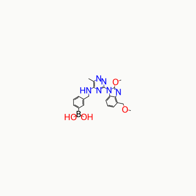 COCc1cccc2c1nc(OC)n2-c1nnc(C)c(NCc2cccc(B(O)O)c2)n1